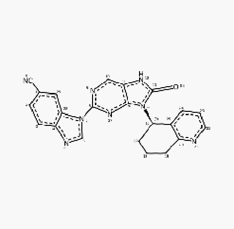 N#Cc1ccc2ncn(-c3ncc4[nH]c(=O)n([C@@H]5CCCc6ncccc65)c4n3)c2c1